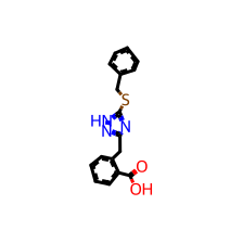 O=C(O)c1ccccc1Cc1n[nH]c(SCc2ccccc2)n1